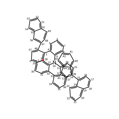 c1ccc(-c2ccccc2N(c2ccc(-c3cccc4ccccc34)cc2)c2ccccc2-c2cccc3sc4ccccc4c23)c(-c2ccc3ccccc3c2)c1